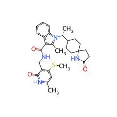 CSc1cc(C)[nH]c(=O)c1CNC(=O)c1c(C)n([C@H](C)C2CCC3(CCC(=O)N3)CC2)c2ccccc12